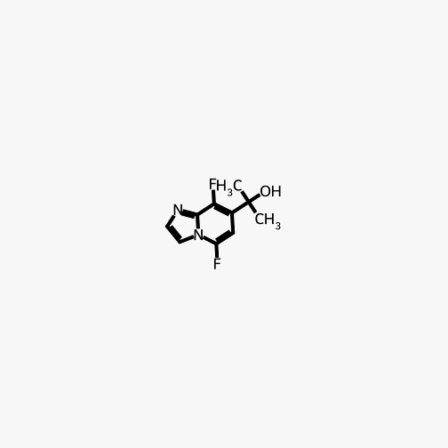 CC(C)(O)c1cc(F)n2ccnc2c1F